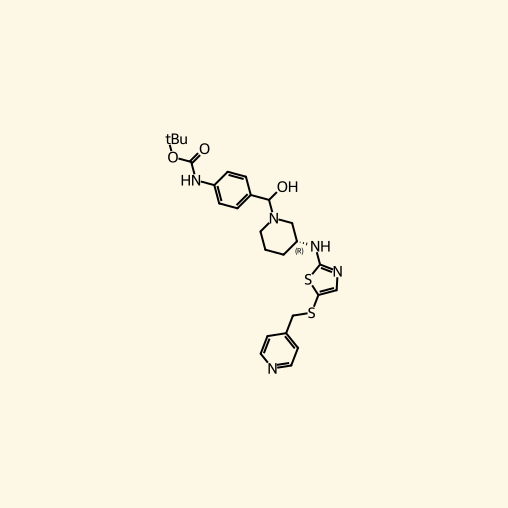 CC(C)(C)OC(=O)Nc1ccc(C(O)N2CCC[C@@H](Nc3ncc(SCc4ccncc4)s3)C2)cc1